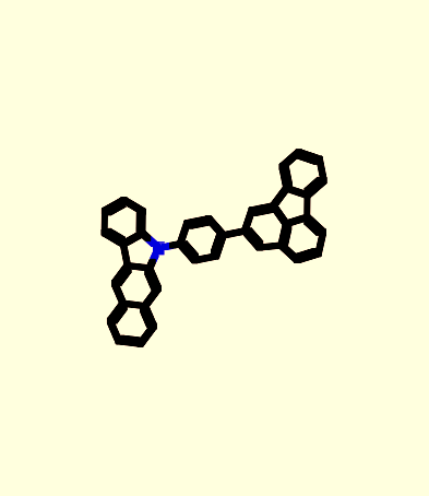 c1ccc2c(c1)-c1cccc3cc(-c4ccc(-n5c6ccccc6c6cc7ccccc7cc65)cc4)cc-2c13